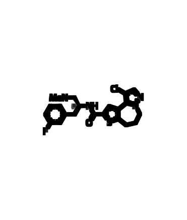 CNC[C@H](Cc1cccc(F)c1)NC(=O)c1cc2c(s1)CCCn1ncc(Cl)c1-2